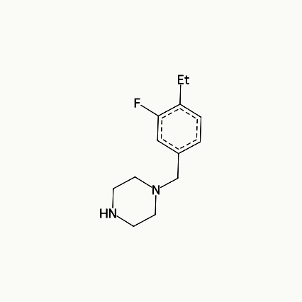 CCc1ccc(CN2CCNCC2)cc1F